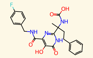 CC(CCc1ccccc1)(NC(=O)O)c1nc(C(=O)NCc2ccc(F)cc2)c(O)c(=O)[nH]1